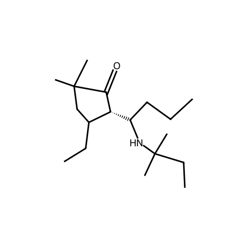 CCCC(NC(C)(C)CC)[C@H]1C(=O)C(C)(C)CC1CC